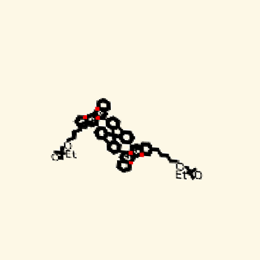 CCC1(COCCCCCc2ccc(N(c3ccccc3)c3ccc4c(c3)C3(c5cc(N(c6ccccc6)c6ccccc6)ccc5-c5ccc(N(c6ccccc6)c6ccccc6)cc53)c3cc(N(c5ccccc5)c5ccc(CCCCCOCC6(CC)COC6)cc5)ccc3-4)cc2)COC1